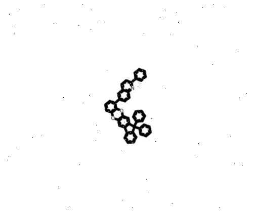 c1ccc(-c2ccc3cc(-c4cccc5c4Oc4cc6c(cc4O5)-c4ccccc4C6(c4ccccc4)c4ccccc4)ccc3n2)cc1